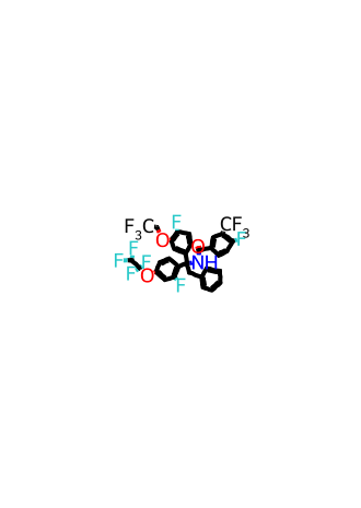 O=C(NC(Cc1ccccc1)(c1ccc(F)c(OCC(F)(F)F)c1)c1ccc(OC(F)(F)C(F)F)cc1F)c1ccc(F)c(C(F)(F)F)c1